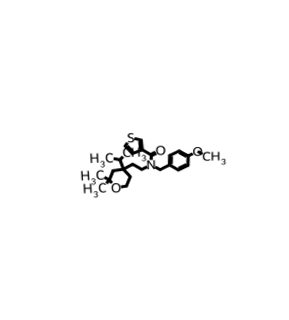 COc1ccc(CN(CCC2(C(C)C)CCOC(C)(C)C2)C(=O)c2ccsc2)cc1